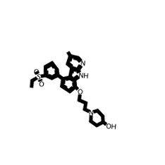 CCS(=O)(=O)c1cccc(-c2ccc(OCCCN3CCC(O)CC3)c3[nH]c4ncc(C)cc4c23)c1